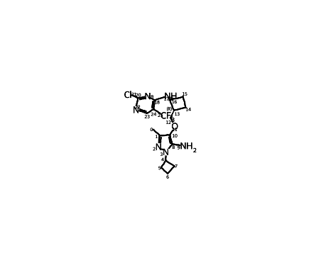 Cc1nn(C2CCC2)c(N)c1OC[C@@H]1CC[C@H]1Nc1nc(Cl)ncc1C(F)(F)F